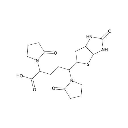 O=C1NC2CC(C(CCC(C(=O)O)N3CCCC3=O)N3CCCC3=O)SC2N1